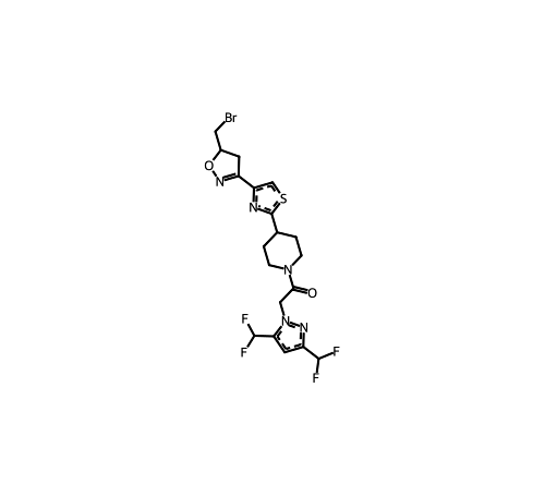 O=C(Cn1nc(C(F)F)cc1C(F)F)N1CCC(c2nc(C3=NOC(CBr)C3)cs2)CC1